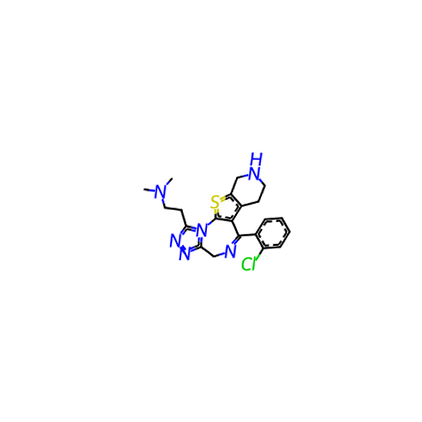 CN(C)CCc1nnc2n1-c1sc3c(c1C(c1ccccc1Cl)=NC2)CCNC3